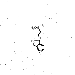 CN(C)CCOC1NCc2ccccc21